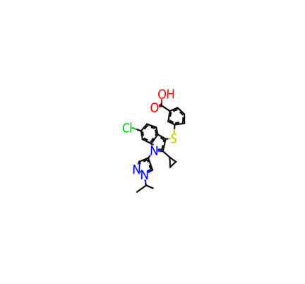 CC(C)n1cc(-n2c(C3CC3)c(Sc3cccc(C(=O)O)c3)c3ccc(Cl)cc32)cn1